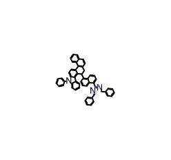 C(=N\C(=N/Cc1ccccc1)c1cccc2c(C3Cc4ccc5ccccc5c4-c4ccc5c(c43)c3ccccc3n5-c3ccccc3)cccc12)/c1ccccc1